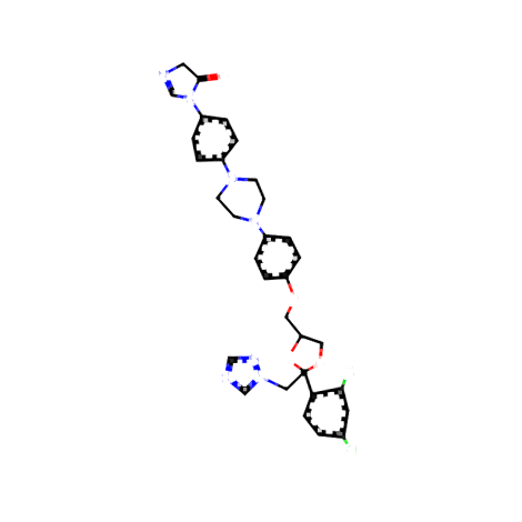 O=C1CN=CN1c1ccc(N2CCN(c3ccc(OCC4COC(Cn5cncn5)(c5ccc(Cl)cc5Cl)O4)cc3)CC2)cc1